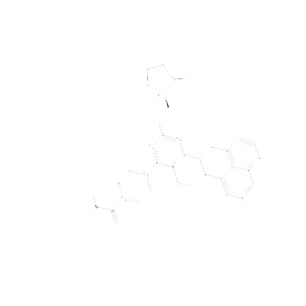 C=C(F)C(=O)N1CCN(c2nc(OC[C@H]3CCCN3C)nc3c2COC(c2cccc4cccc(Cl)c24)C3)CC1